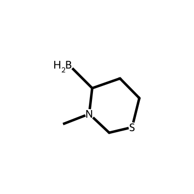 BC1CCSCN1C